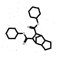 O=C(OC1CCCCC1)C1C2CC(C3CCCC32)C1C(=O)OC1CCCCC1